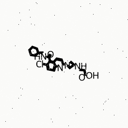 O=C(O)CCNC1CN(c2ccc3c(C(=O)NCC4CCCCC4)c(Cl)ccc3n2)C1